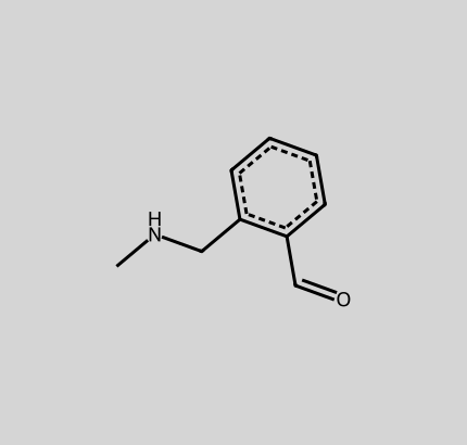 CNCc1ccccc1C=O